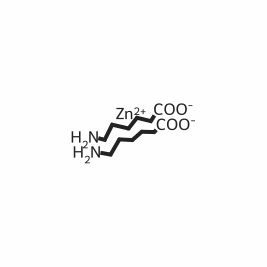 NCCCCCC(=O)[O-].NCCCCCC(=O)[O-].[Zn+2]